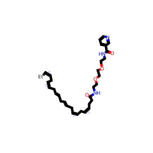 CC/C=C\C/C=C\CC=CCC=CC/C=C\C/C=C\CCC(=O)NCCOCCOCCNC(=O)c1cccnc1